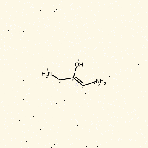 N/C=C(\O)CN